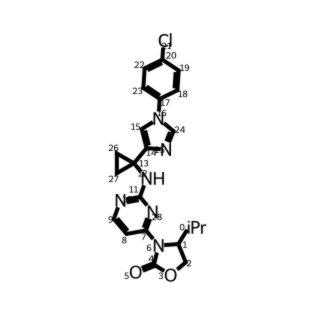 CC(C)C1COC(=O)N1c1ccnc(NC2(c3cn(-c4ccc(Cl)cc4)cn3)CC2)n1